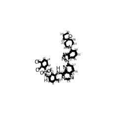 O=S(=O)(Nc1ccc(F)c(Nc2ncnc3ccc(-n4nnc5c(N6CCC7(CCCO7)CC6)cccc54)nc23)c1F)c1cccc(Cl)c1Cl